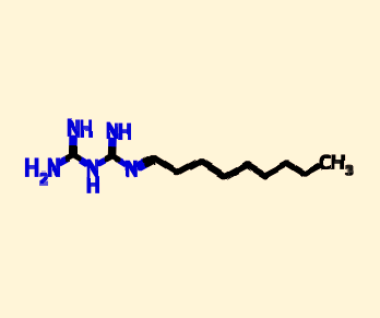 CCCCCCCCC=NC(=N)NC(=N)N